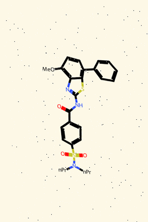 CCCN(CCC)S(=O)(=O)c1ccc(C(=O)Nc2nc3c(OC)ccc(-c4ccccc4)c3s2)cc1